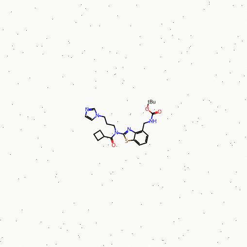 CC(C)(C)OC(=O)NCc1cccc2sc(N(CCCn3ccnc3)C(=O)C3CCC3)nc12